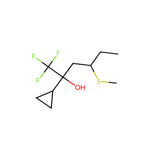 CCC(CC(O)(C1CC1)C(F)(F)F)SC